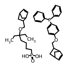 C1=CC2CC1CC2COc1ccc(P(c2ccccc2)c2ccccc2)cc1.CCC(CC)(CCCCP(=O)(O)O)OCC1CC2C=CC1C2